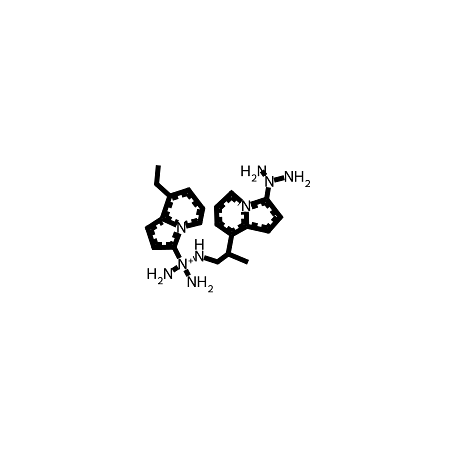 CCc1cccn2c([N+](N)(N)NCC(C)c3cccn4c(N(N)N)ccc34)ccc12